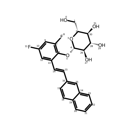 OC[C@H]1O[C@@H](Oc2c(F)cc(F)cc2/C=C/c2ccc3ccccc3c2)[C@H](O)[C@@H](O)[C@@H]1O